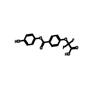 O=C(Oc1ccc(O)cc1)c1ccc(OC(F)(F)C(=O)O)cc1